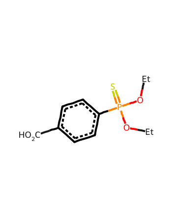 CCOP(=S)(OCC)c1ccc(C(=O)O)cc1